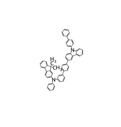 CC1(C)c2ccccc2-c2ccc(N(c3ccccc3)c3cccc(-c4ccc(-c5ccc6c(c5)c5ccccc5n6-c5ccc(-c6ccccc6)cc5)cc4)c3)cc21